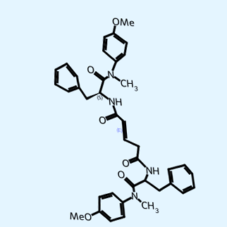 COc1ccc(N(C)C(=O)C(Cc2ccccc2)NC(=O)C/C=C/C(=O)N[C@@H](Cc2ccccc2)C(=O)N(C)c2ccc(OC)cc2)cc1